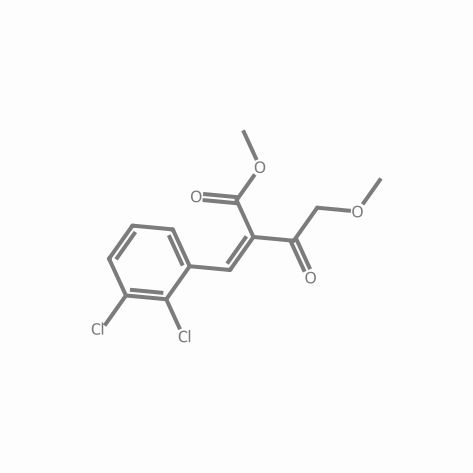 COCC(=O)/C(=C/c1cccc(Cl)c1Cl)C(=O)OC